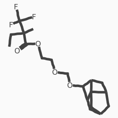 CCC(C)(C(=O)OCCOCOC1C2CC3CC(C2)CC1C3)C(F)(F)F